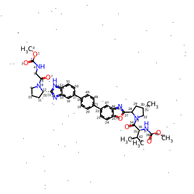 COC(=O)NCC(=O)N1CCC[C@H]1c1nc2cc(-c3ccc(-c4ccc5oc(C6C[C@H](C)CN6C(=O)[C@@H](NC(=O)OC)C(C)C)nc5c4)cc3)ccc2[nH]1